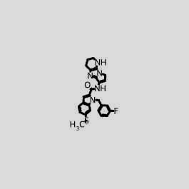 CSc1ccc2cc(C(=O)NC3=CCn4c3nc3c4NCCC3)n(Cc3cccc(F)c3)c2c1